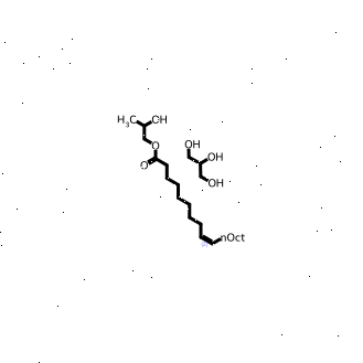 CCCCCCCC/C=C\CCCCCCCC(=O)OCC(C)O.OCC(O)CO